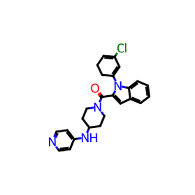 O=C(c1cc2ccccc2n1C1=CC(Cl)=CCC1)N1CCC(Nc2ccncc2)CC1